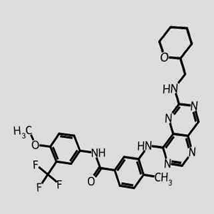 COc1ccc(NC(=O)c2ccc(C)c(Nc3ncnc4cnc(NCC5CCCCO5)nc34)c2)cc1C(F)(F)F